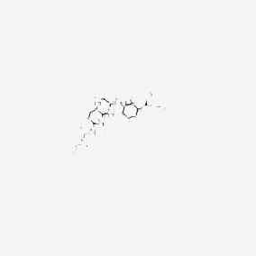 CCNC(=O)Nc1ccc2ncc(Nc3cccc(C(=O)OCC)c3)nc2n1